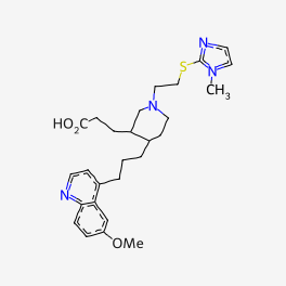 COc1ccc2nccc(CCCC3CCN(CCSc4nccn4C)CC3CCC(=O)O)c2c1